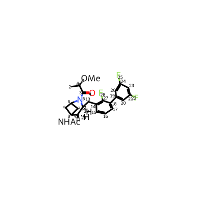 CO[C@H](C)C(=O)N1C2CC(C2)[C@H](NC(C)=O)[C@@H]1Cc1cccc(-c2cc(F)cc(F)c2)c1F